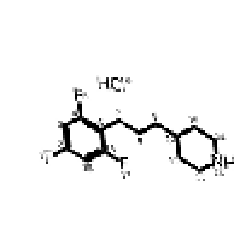 Cl.Fc1cc(F)c(CCCC2CCNCC2)c(F)c1